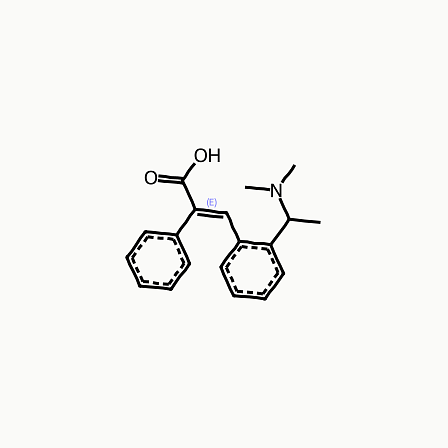 CC(c1ccccc1/C=C(/C(=O)O)c1ccccc1)N(C)C